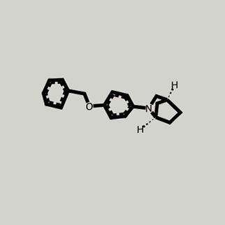 c1ccc(COc2ccc(N3C[C@H]4CC[C@@H]3C4)cc2)cc1